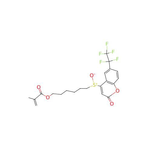 C=C(C)C(=O)OCCCCCC[S+]([O-])c1cc(=O)oc2ccc(C(F)(F)C(F)(F)F)cc12